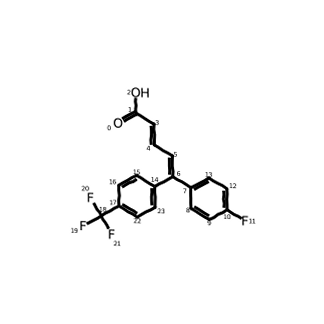 O=C(O)/C=C/C=C(/c1ccc(F)cc1)c1ccc(C(F)(F)F)cc1